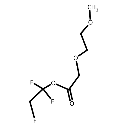 COCCOCC(=O)OC(F)(F)CF